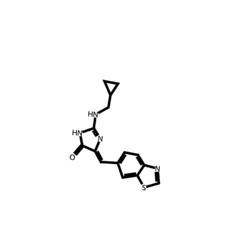 O=C1NC(NCC2CC2)=N/C1=C\c1ccc2ncsc2c1